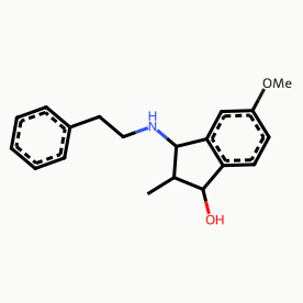 COc1ccc2c(c1)C(NCCc1ccccc1)C(C)C2O